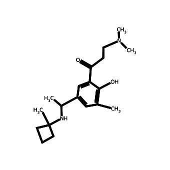 Cc1cc(C(C)NC2(C)CCC2)cc(C(=O)CCN(C)C)c1O